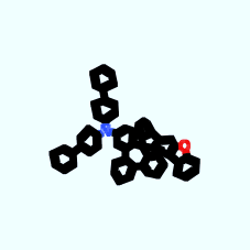 c1ccc(-c2ccc(N(c3ccc(-c4ccccc4)cc3)c3ccc4c(c3)-c3ccccc3-c3ccccc3C43c4ccccc4-c4cc5oc6ccccc6c5cc43)cc2)cc1